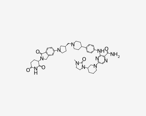 CN1CCN(C2CCCN(c3cnc(C(N)=O)c(Nc4ccc(C5CCN(C[C@H]6CCN(c7ccc8c(c7)CN(C7CCC(=O)NC7=O)C8=O)C6)CC5)cc4)n3)C2)C1=O